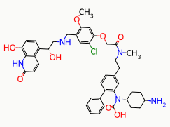 COc1cc(OCC(=O)N(C)CCc2ccc(-c3ccccc3)c(N(C(=O)O)[C@H]3CC[C@H](N)CC3)c2)c(Cl)cc1CNC[C@H](O)c1ccc(O)c2[nH]c(=O)ccc12